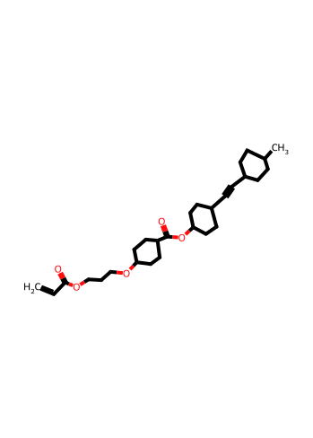 C=CC(=O)OCCCOC1CCC(C(=O)OC2CCC(C#CC3CCC(C)CC3)CC2)CC1